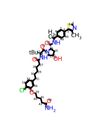 Cc1ncsc1-c1ccc([C@H](C)NC(=O)[C@@H]2C[C@@H](O)CN2C(=O)[C@@H](NC(=O)CCCCCc2ccc(Cl)c(OCCCCC(N)=O)c2)C(C)(C)C)cc1